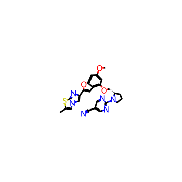 COc1cc(OC[C@@H]2CCCN2c2ncc(C#N)cn2)c2cc(-c3cn4cc(C)sc4n3)oc2c1